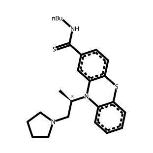 CCCCNC(=S)c1ccc2c(c1)N([C@H](C)CN1CCCC1)c1ccccc1S2